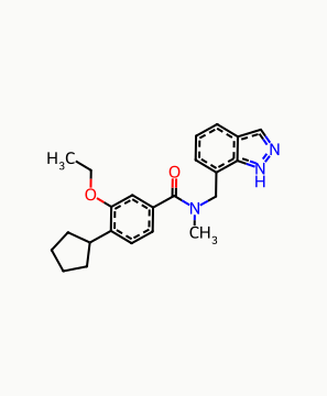 CCOc1cc(C(=O)N(C)Cc2cccc3cn[nH]c23)ccc1C1CCCC1